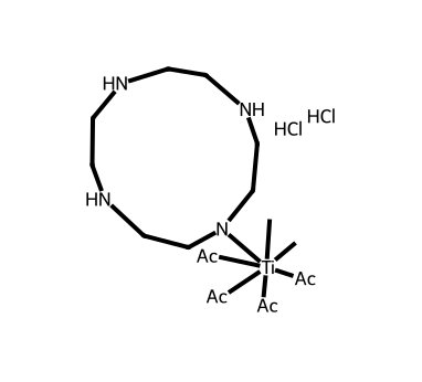 C[C](=O)[Ti]([CH3])([CH3])([C](C)=O)([C](C)=O)([C](C)=O)[N]1CCNCCNCCNCC1.Cl.Cl